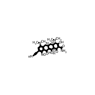 CCCC#Cc1cc(N(C)C)c2c(c1N=O)C(=O)C1=C(O)[C@]3(O)C(=O)C(C(N)=O)=C(O)[C@@H](N(C)C)[C@@H]3C[C@@H]1C2